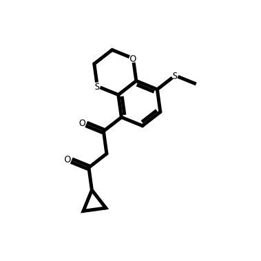 CSc1ccc(C(=O)CC(=O)C2CC2)c2c1OCCS2